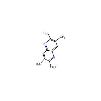 Cc1cc2nc(C(=O)O)c(C(F)(F)F)cc2nc1C(=O)O